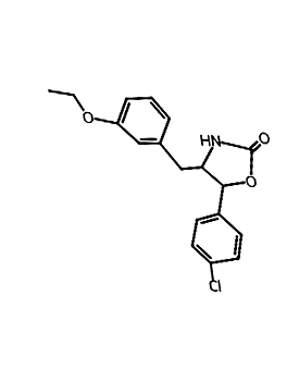 CCOc1cccc(CC2NC(=O)OC2c2ccc(Cl)cc2)c1